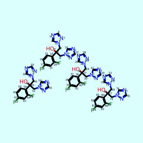 OC(Cn1cncn1)(Cn1cncn1)c1ccc(F)cc1F.OC(Cn1cncn1)(Cn1cncn1)c1ccc(F)cc1F.OC(Cn1cncn1)(Cn1cncn1)c1ccc(F)cc1F.OC(Cn1cncn1)(Cn1cncn1)c1ccc(F)cc1F